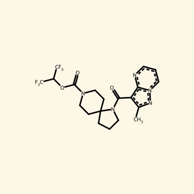 Cc1nn2cccnc2c1C(=O)N1CCCC12CCN(C(=O)OC(C(F)(F)F)C(F)(F)F)CC2